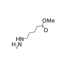 COC(=O)CCCCNN